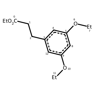 CCOC(=O)CCc1cc(OCC)cc(OCC)c1